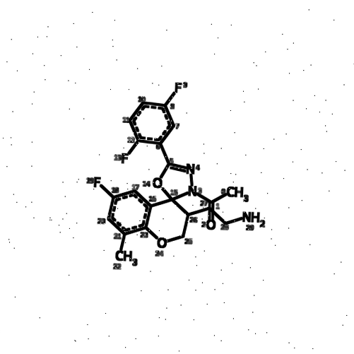 CC(=O)N1N=C(c2cc(F)ccc2F)OC12c1cc(F)cc(C)c1OCC2CCN